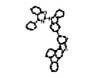 c1ccc(-c2nc(-n3c4ccccc4c4cc(-c5ccc6sc7cc8c9c(cccc9c7c6c5)-c5ccccc5-8)ccc43)nc3ccccc23)cc1